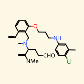 C=Cc1cccc(OCCCNc2ccc(Cl)c(C)c2)c1CN(C)C(CCC=O)C(=C)NC